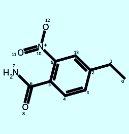 CCc1ccc(C(N)=O)c([N+](=O)[O-])c1